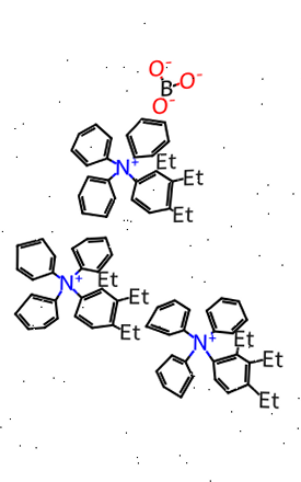 CCc1ccc([N+](c2ccccc2)(c2ccccc2)c2ccccc2)c(CC)c1CC.CCc1ccc([N+](c2ccccc2)(c2ccccc2)c2ccccc2)c(CC)c1CC.CCc1ccc([N+](c2ccccc2)(c2ccccc2)c2ccccc2)c(CC)c1CC.[O-]B([O-])[O-]